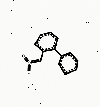 O=S(=O)=Cc1ccccc1-c1ccccc1